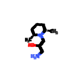 C[C@@H]1CCC[C@H](C)N1CC(O)CN